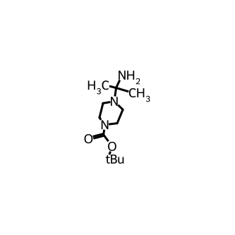 CC(C)(C)OC(=O)N1CCN(C(C)(C)N)CC1